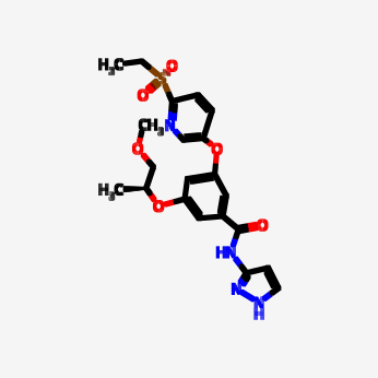 CCS(=O)(=O)c1ccc(Oc2cc(O[C@@H](C)COC)cc(C(=O)Nc3cc[nH]n3)c2)cn1